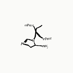 CCCCCC(C)(CCCCC)N1C=NCC1N